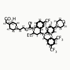 CCC1CC(N(Cc2cc(C(F)(F)F)cc(C(F)(F)F)c2)c2ncc(N3CCOCC3)cn2)c2cc(C(F)(F)F)ccc2N1C(=O)OCCN1CCC(CC(=O)O)CC1